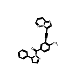 Cc1ccc(C(=O)N2N=CCC2c2ccccc2)cc1C#Cc1cnc2cccnn12